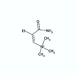 CCC(=C[N+](C)(C)C)C(N)=O